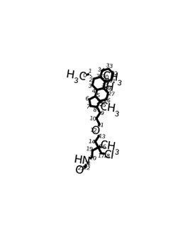 CC[C@H]1CC2C3CCC(CCCOCCC(C)(CCl)CCNC=O)C3(C)CC[C@@H]2C2(C)CCCCC12